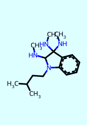 CNC1N(CCC(C)C)c2ccccc2C1(NC)NC